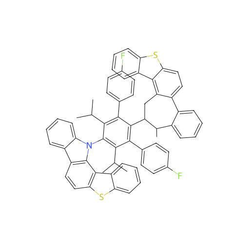 CC(C)c1c(-c2ccc(F)cc2)c(C2Cc3c(ccc4sc5ccccc5c34)-c3ccccc3C2C)c(-c2ccc(F)cc2)c(C(C)C)c1-n1c2ccccc2c2ccc3sc4ccccc4c3c21